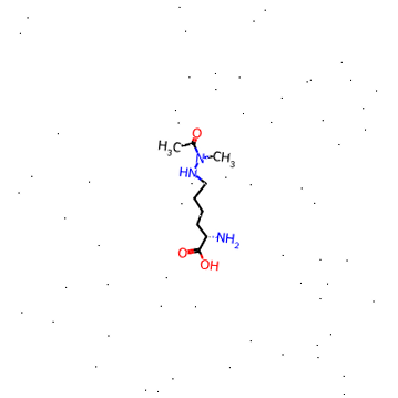 CC(=O)N(C)NCCCC[C@H](N)C(=O)O